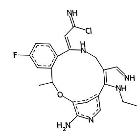 CCN/C1=C(\C=N)CN/C(=C\C(=N)Cl)c2ccc(F)cc2C(C)Oc2cc1cnc2N